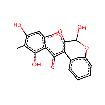 Cc1c(O)cc2oc3c(c(=O)c2c1O)-c1ccccc1OC3O